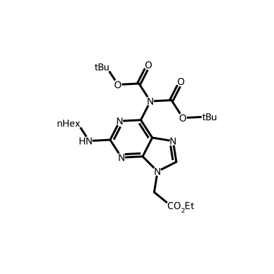 CCCCCCNc1nc(N(C(=O)OC(C)(C)C)C(=O)OC(C)(C)C)c2ncn(CC(=O)OCC)c2n1